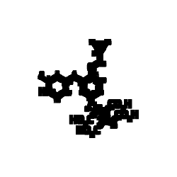 C[C@H]1CN(Cc2cc(Cl)ccc2OCC2CC2)CCN1.O=C(O)/C=C/C(=O)O.O=C(O)/C=C/C(=O)O